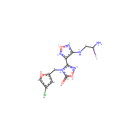 NC(I)CNc1nonc1-c1noc(=O)n1Cc1cc(Br)co1